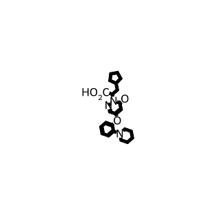 O=C(O)C(CC1CCCC1)n1ncc(Oc2ccccc2N2CCCCC2)cc1=O